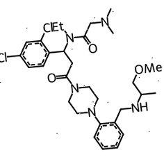 CCN(C(=O)CN(C)C)C(CC(=O)N1CCN(c2ccccc2CNC(C)COC)CC1)c1ccc(Cl)cc1Cl